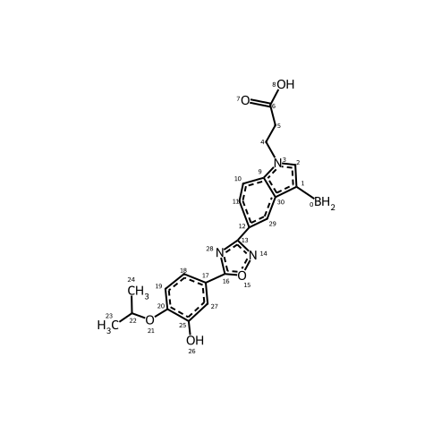 Bc1cn(CCC(=O)O)c2ccc(-c3noc(-c4ccc(OC(C)C)c(O)c4)n3)cc12